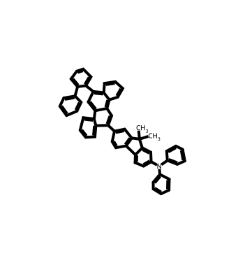 CC1(C)c2cc(-c3cc4c5ccccc5c(-c5ccccc5-c5ccccc5)cc4c4ccccc34)ccc2-c2ccc(N(c3ccccc3)c3ccccc3)cc21